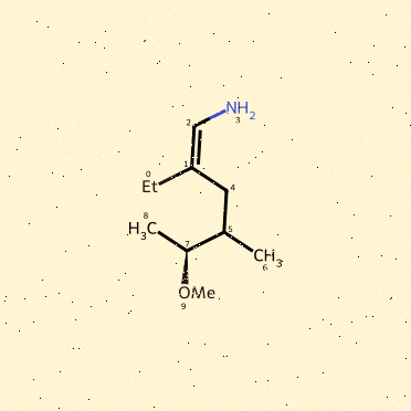 CC/C(=C/N)CC(C)[C@H](C)OC